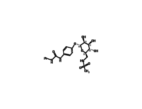 CC(C)NC(=O)Nc1ccc(O[C@H]2O[C@H](CNS(C)(=O)=O)[C@@H](O)[C@H](O)[C@@H]2O)cc1